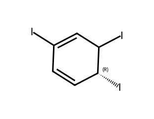 IC1=CC(I)[C@H](I)C=C1